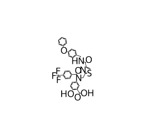 O=C(NCc1ccc(Oc2ccccc2)cc1)c1csc(CN(C(=O)c2ccc(C(F)(F)F)cc2)c2ccc(O)c(C(=O)O)c2)n1